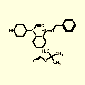 CC(C)(C)OC=O.O=CN(C1CCNCC1)[C@@H]1CCCCN1NOCc1ccccc1